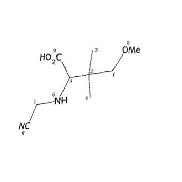 COCC(C)(C)C(NCC#N)C(=O)O